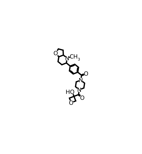 CN1C(c2ccc(C(=O)N3CCN(C(=O)C4(O)COC4)CC3)cc2)CCC2OCCC21